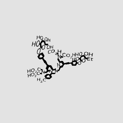 CCC1OC(Oc2ccc(C#Cc3cc(CN(CC(=O)O)CC(=O)O)nc(CN(CCc4ccc(C)cc4)Cc4cc(C#Cc5ccc(OC6OC(CO)C(O)C(O)C6O)cc5)cc(CN(CC(=O)O)CC(=O)O)n4)c3)cc2)C(O)C(O)C1O